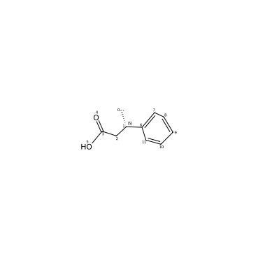 [CH2][C@@H](CC(=O)O)c1ccccc1